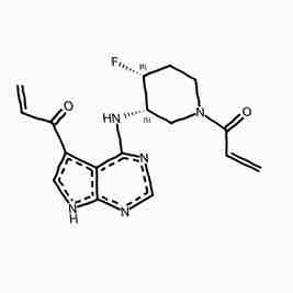 C=CC(=O)c1c[nH]c2ncnc(N[C@H]3CN(C(=O)C=C)CC[C@H]3F)c12